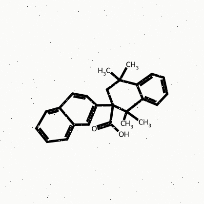 CC1(C)CC(C(=O)O)(c2ccc3ccccc3c2)C(C)(C)c2ccccc21